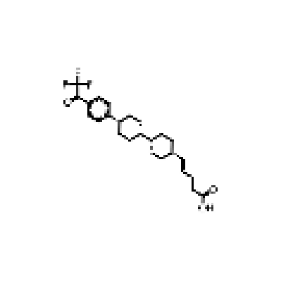 O=C(O)CCC=C[C@H]1CC[C@H]([C@H]2CC[C@H](c3ccc(C(=O)C(F)(F)F)cc3)CC2)CC1